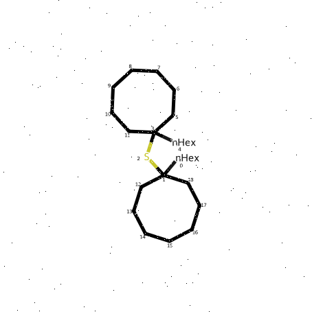 CCCCCCC1(SC2(CCCCCC)CCCCCCC2)CCCCCCC1